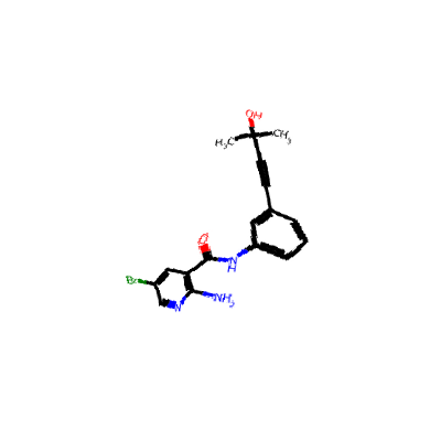 CC(C)(O)C#Cc1cccc(NC(=O)c2cc(Br)cnc2N)c1